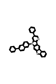 c1ccc(-c2ccc3cc(-n4c5cc6sc7ccccc7c6cc5c5ncc(-c6ccccc6)cc54)ccc3c2)cc1